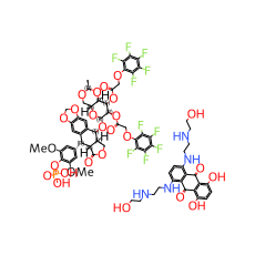 COc1cc([C@@H]2c3cc4c(cc3[C@@H](O[C@@H]3O[C@@H]5CO[C@@H](C)O[C@H]5[C@H](OC(=O)COc5c(F)c(F)c(F)c(F)c5F)[C@H]3OC(=O)COc3c(F)c(F)c(F)c(F)c3F)[C@H]3COC(=O)[C@H]23)OCO4)cc(OC)c1OP(=O)(O)O.O=C1c2c(O)ccc(O)c2C(=O)c2c(NCCNCCO)ccc(NCCNCCO)c21